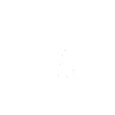 CCCCNc1cc[nH]c(=O)n1.O=P(O)(O)OP(=O)(O)OP(=O)(O)O